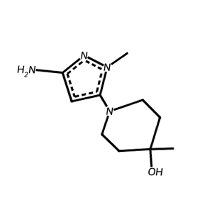 Cn1nc(N)cc1N1CCC(C)(O)CC1